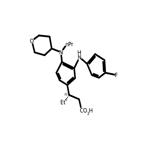 CCCN(c1ccc([C@@H](CC)CC(=O)O)cc1Nc1ccc(F)cc1)C1CCOCC1